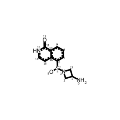 NC1CN([S+]([O-])c2cccc3c(=O)[nH]ccc23)C1